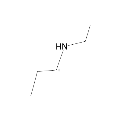 CC[C]NCC